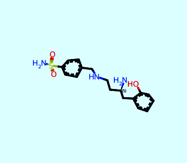 N[C@H](CCNCc1ccc(S(N)(=O)=O)cc1)Cc1ccccc1O